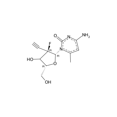 C#C[C@@]1(F)C(O)[C@@H](CO)O[C@H]1n1c(C)cc(N)nc1=O